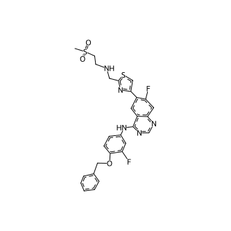 CS(=O)(=O)CCNCc1nc(-c2cc3c(Nc4ccc(OCc5ccccc5)c(F)c4)ncnc3cc2F)cs1